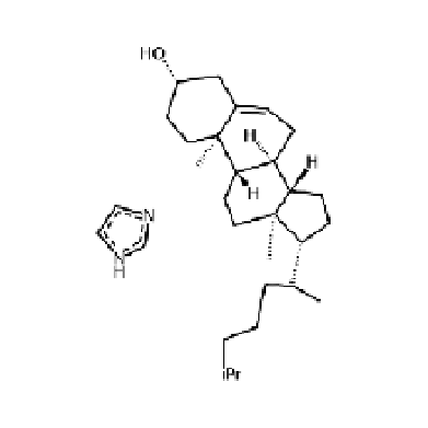 CC(C)CCCC(C)[C@H]1CC[C@H]2[C@@H]3CC=C4C[C@@H](O)CC[C@]4(C)[C@H]3CC[C@]12C.c1c[nH]cn1